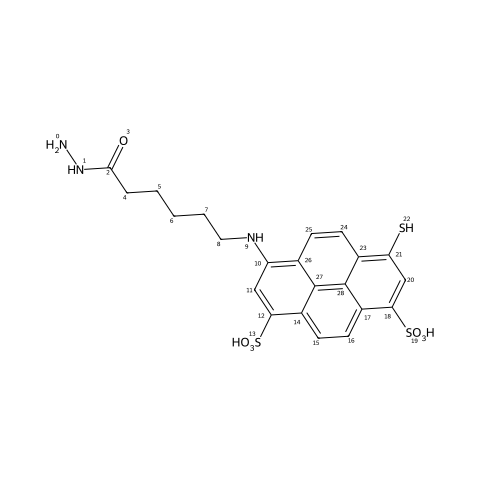 NNC(=O)CCCCCNc1cc(S(=O)(=O)O)c2ccc3c(S(=O)(=O)O)cc(S)c4ccc1c2c43